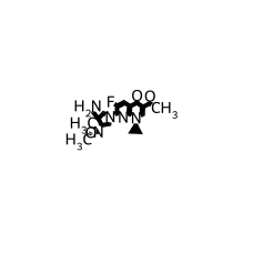 CO/N=C1/CN(c2nc3c(cc2F)c(=O)c(C(C)=O)cn3C2CC2)C[C@@]1(C)CN